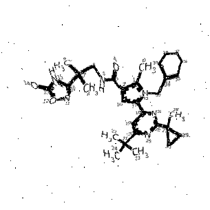 Cc1c(C(=O)NCC(C)(C)c2noc(=O)[nH]2)cc(-c2cc(C(C)(C)C)nc(C3(C)CC3)n2)n1CC1CCCCC1